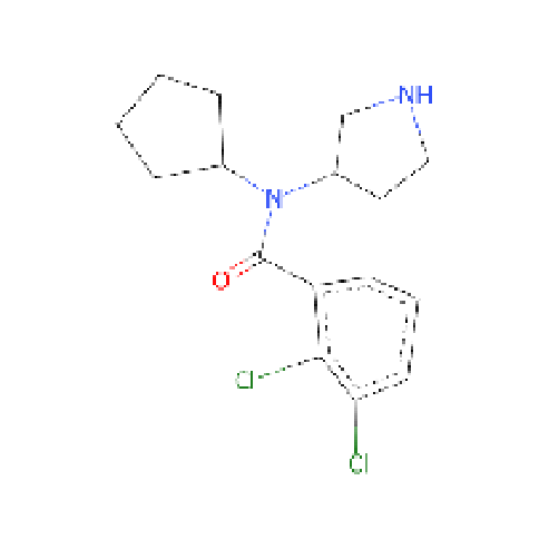 O=C(c1cccc(Cl)c1Cl)N(C1CCCC1)C1CCNC1